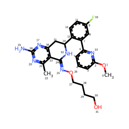 COc1cccc(-c2cc(F)ccc2C2Cc3nc(N)nc(C)c3C(=NOCCCCO)N2)n1